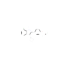 Fc1cc(F)c2[nH]c(-c3ccc(OC(F)(F)F)cc3)c(C3CCC3)c2c1